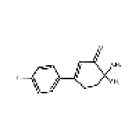 CC1(C)CCC(c2ccc(F)cc2)=CC1=O